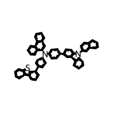 c1ccc2cc(-n3c4ccccc4c4cc(-c5ccc(N(c6ccc(-c7cccc8c7sc7ccccc78)cc6)c6cc7ccccc7c7ccccc67)cc5)ccc43)ccc2c1